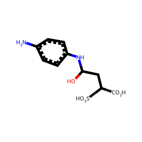 Nc1ccc(NC(O)CC(C(=O)O)S(=O)(=O)O)cc1